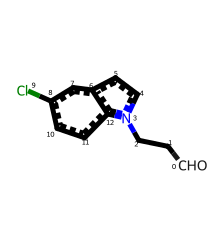 O=CCCn1ccc2cc(Cl)ccc21